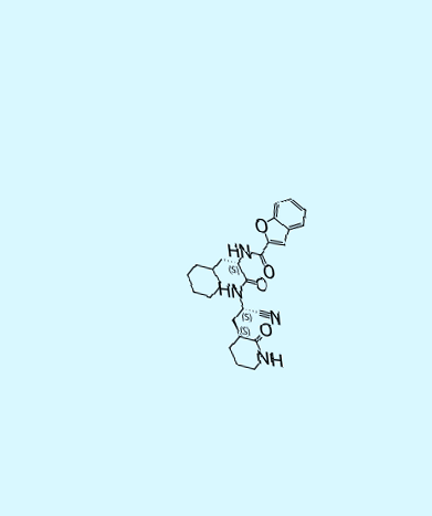 N#C[C@H](C[C@@H]1CCCNC1=O)NC(=O)[C@H](CC1CCCCC1)NC(=O)c1cc2ccccc2o1